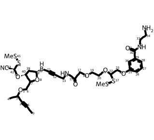 CC#CC(C)OCC1O[C@@H](BC#CCNC(=O)COCCOC(COc2cccc(C(=O)NCCN)c2)SSC)C[C@H]1O[C@@H](C#N)SSC